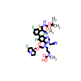 CN(CCCN1C=C(OC[C@@]23CCCN2C[C@H](F)C3)Oc2c(F)c(-c3ccc(F)c4sc(NC(=O)OC(C)(C)C)c(C#N)c34)c(Cl)c3c2=C1N(CC#N)CN=3)C(=O)O